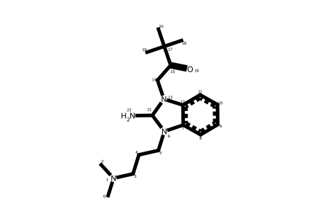 CN(C)CCCN1c2ccccc2N(CC(=O)C(C)(C)C)C1N